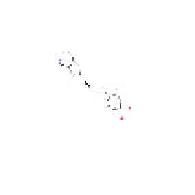 CCc1c(C#CCNc2ccc(S(C)(=O)=O)cc2OC)sc2ccncc12